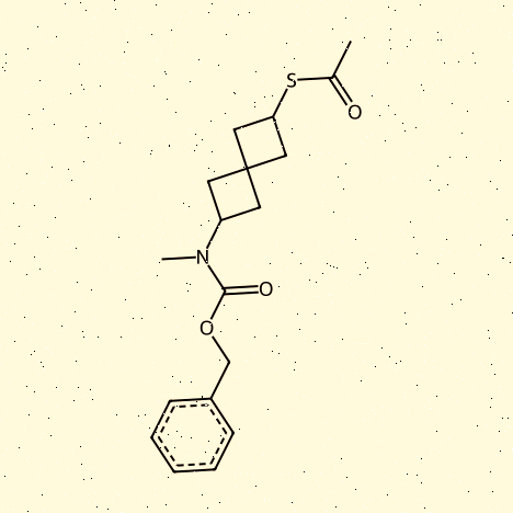 CC(=O)SC1CC2(C1)CC(N(C)C(=O)OCc1ccccc1)C2